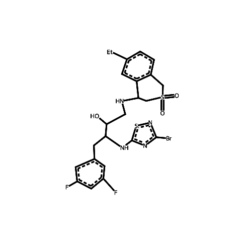 CCc1ccc2c(c1)C(NCC(O)C(Cc1cc(F)cc(F)c1)Nc1nc(Br)ns1)CS(=O)(=O)C2